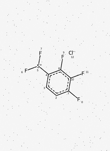 Fc1ccc([S+](F)F)c(F)c1F.[Cl-]